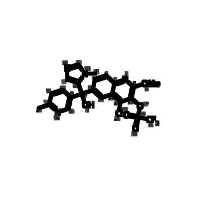 COc1nc2ccc(C(O)(c3ccc(C)nc3)c3cncn3C)cc2c(Cl)c1OS(=O)(=O)C(F)(F)F